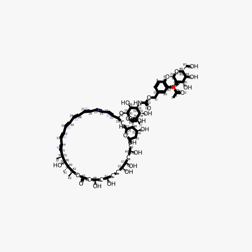 CC(=O)N[C@H]1[C@H](Oc2ccc(COC(=O)N[C@@H]3[C@H](O)[C@H](O[C@H]4/C=C/C=C/C=C/C=C/C=C/C=C/C=C/[C@H](C)[C@@H](O)[C@@H](C)[C@H](C)OC(=O)C[C@H](O)C[C@H](O)CC[C@@H](O)[C@H](O)C[C@H](O)C[C@]5(O)C[C@H](O)[C@@H](C(=O)O)[C@H](C4)O5)O[C@H](C)[C@H]3O)cc2[N+](=O)[O-])O[C@H](CO)C(O)[C@@H]1O